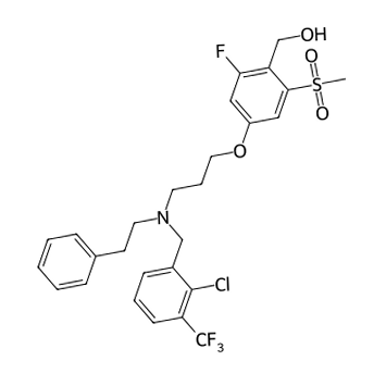 CS(=O)(=O)c1cc(OCCCN(CCc2ccccc2)Cc2cccc(C(F)(F)F)c2Cl)cc(F)c1CO